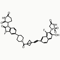 Cn1c(=O)n(C2CCC(=O)NC2=O)c2ccc(C3CCN(C(=O)C45CC4(C#Cc4ccc6cc(O)c(N7CC(=O)NS7(=O)=O)c(F)c6c4)C5)CC3)cc21